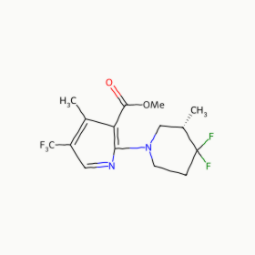 COC(=O)c1c(N2CCC(F)(F)[C@@H](C)C2)ncc(C(F)(F)F)c1C